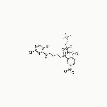 C[Si](C)(C)CCS(=O)(=O)N=S(C)(=O)c1ccc([N+](=O)[O-])cc1NCCCCNc1nc(Cl)ncc1Br